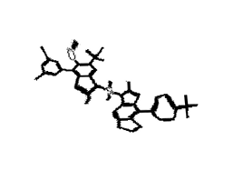 COc1c(C(C)(C)C)cc2c(c1-c1cc(C)cc(C)c1)C=C(C)C2[Si](C)(C)C1C(C)=Cc2c1cc1c(c2-c2ccc(C(C)(C)C)cc2)CCC1